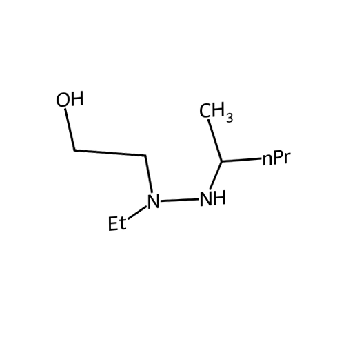 CCCC(C)NN(CC)CCO